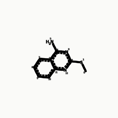 CSc1nc(N)c2ccccc2n1